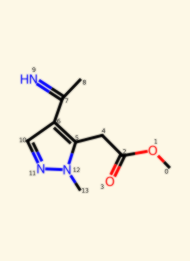 COC(=O)Cc1c(C(C)=N)cnn1C